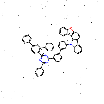 c1ccc(-c2ccc(-c3nc(-c4ccccc4)nc(-c4cccc(-c5cccc(-n6c7ccccc7c7ccc8oc9ccccc9c8c76)c5)c4)n3)c(-c3ccccc3)c2)cc1